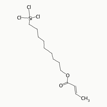 CC=CC(=O)OCCCCCCCCC[Si](Cl)(Cl)Cl